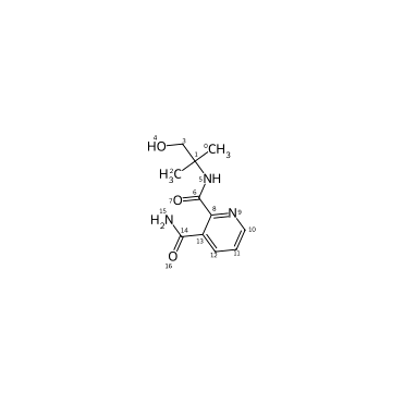 CC(C)(CO)NC(=O)c1ncccc1C(N)=O